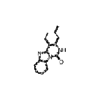 C=C/C=c1/[nH]c(=O)n2c(nc3ccccc32)/c1=C/C